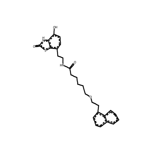 O=C(CCCCCOCCc1cccc2ccccc12)NCCc1ccc(O)c2[nH]c(=O)sc12